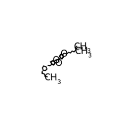 CCC/C=C\[C@H]1CC[C@H](CCc2ccc(OC(=O)c3ccc(OCCCCC[C@@H](C)CC)cc3)cc2)CC1